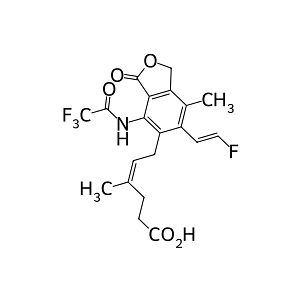 CC(=CCc1c(C=CF)c(C)c2c(c1NC(=O)C(F)(F)F)C(=O)OC2)CCC(=O)O